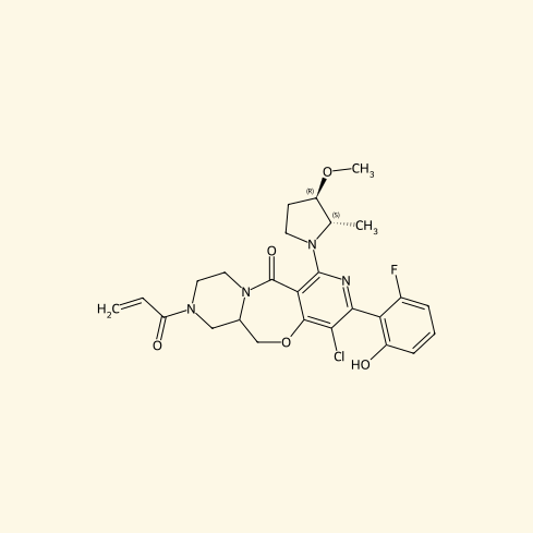 C=CC(=O)N1CCN2C(=O)c3c(N4CC[C@@H](OC)[C@@H]4C)nc(-c4c(O)cccc4F)c(Cl)c3OCC2C1